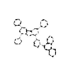 c1ccc(-c2cc(-c3ccccc3)c3sc4c(-c5cccc(-c6cc7ccccc7c7ccccc67)c5)cc(-c5ccccc5)cc4c3c2)cc1